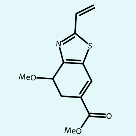 C=Cc1nc2c(s1)C=C(C(=O)OC)CC2OC